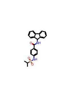 CC(C)S(=O)(=O)Nc1ccc(C(=O)NC2c3ccccc3-c3ccccc32)cc1